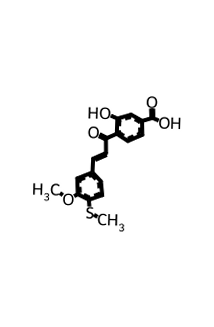 COc1cc(C=CC(=O)c2ccc(C(=O)O)cc2O)ccc1SC